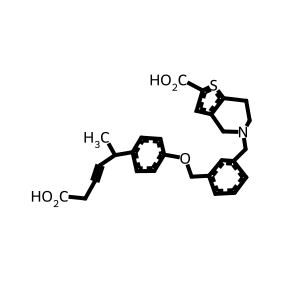 CC(C#CCC(=O)O)c1ccc(OCc2cccc(CN3CCc4sc(C(=O)O)cc4C3)c2)cc1